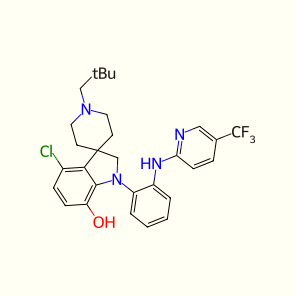 CC(C)(C)CN1CCC2(CC1)CN(c1ccccc1Nc1ccc(C(F)(F)F)cn1)c1c(O)ccc(Cl)c12